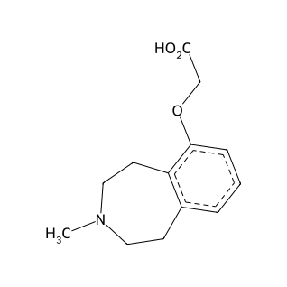 CN1CCc2cccc(OCC(=O)O)c2CC1